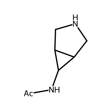 CC(=O)NC1C2CNCC21